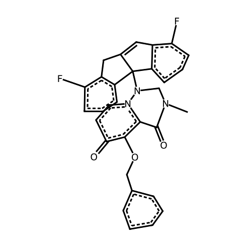 CN1CN(C23C(=Cc4c(F)cccc42)Cc2c(F)cccc23)n2ccc(=O)c(OCc3ccccc3)c2C1=O